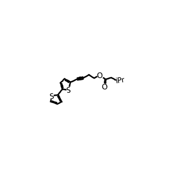 CC(C)CC(=O)OCCC#Cc1ccc(-c2cccs2)s1